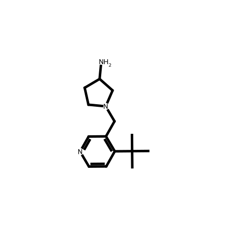 CC(C)(C)c1ccncc1CN1CCC(N)C1